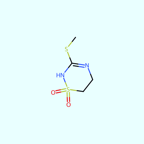 CSC1=NCCS(=O)(=O)N1